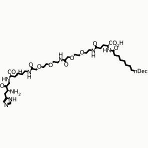 CCCCCCCCCCCCCCCCCC(=O)N[C@@H](CCC(=O)NCCOCCOCC(=O)NCCOCCOCC(=O)NCCCC[C@H](NCC(=O)[C@@H](N)Cc1cnc[nH]1)C(=O)O)C(=O)O